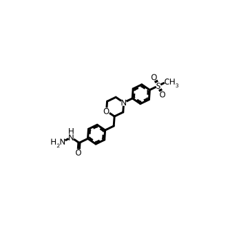 CS(=O)(=O)c1ccc(N2CCOC(Cc3ccc(C(=O)NN)cc3)C2)cc1